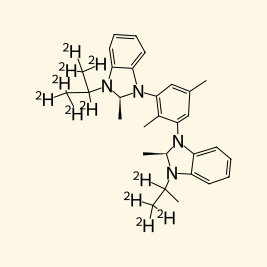 [2H]C([2H])([2H])C([2H])(C)N1c2ccccc2N(c2cc(C)cc(N3c4ccccc4N(C([2H])(C([2H])([2H])[2H])C([2H])([2H])[2H])[C@@H]3C)c2C)[C@@H]1C